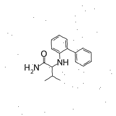 CC(C)C(Nc1ccccc1-c1ccccc1)C(N)=O